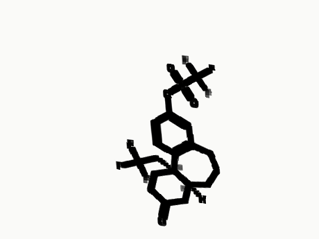 O=C1CC[C@@]2(CC(F)(F)F)c3ccc(OS(=O)(=O)C(F)(F)F)cc3CCC[C@H]2C1